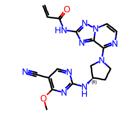 C=CC(=O)Nc1nc2c(N3CC[C@@H](Nc4ncc(C#N)c(OC)n4)C3)nccn2n1